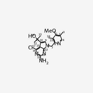 COc1c(C)cnc(Cn2cc(C(C)(C)O)c3c(Cl)nc(N)nc32)c1C